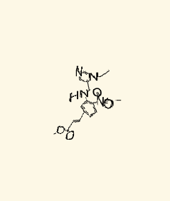 CCn1cncc1CNc1cc(/C=C/C(=O)OC)ccc1[N+](=O)[O-]